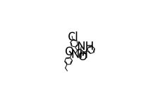 CCc1ccc(C(=O)Nc2c(C(=O)c3ccccc3)[nH]c3cc(Cl)ccc23)cc1